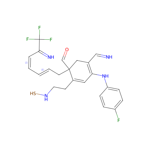 N=CC1=C(Nc2ccc(F)cc2)C=C(CCNS)C(C=O)(C/C=C/C=C\C(=N)C(F)(F)F)C1